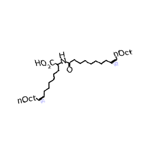 CCCCCCCC/C=C\CCCCCCCC(=O)NC(CCCCCC/C=C\CCCCCCCC)C(=O)O